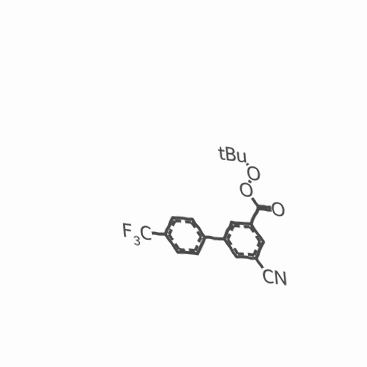 CC(C)(C)OOC(=O)c1cc(C#N)cc(-c2ccc(C(F)(F)F)cc2)c1